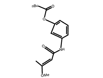 CCCCC(=O)Oc1cccc(NC(=O)C=C(C)OC)c1